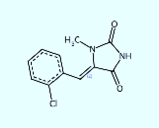 CN1C(=O)NC(=O)/C1=C/c1ccccc1Cl